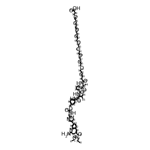 CCCN(OCC)C(=O)C1=Cc2ccc(-c3cnc(CNC(=O)OCc4ccc(NC(=O)[C@@H](NC(=O)[C@@H]5CCCN5C(=O)[C@H](C)NC(=O)CCOCCOCCOCCOCCOCCOCCOCCOCCOCCOCCC(=O)O)C(C)C)cc4)nc3)cc2N=C(N)C1